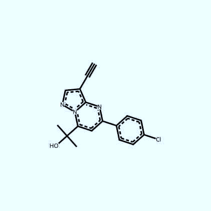 C#Cc1cnn2c(C(C)(C)O)cc(-c3ccc(Cl)cc3)nc12